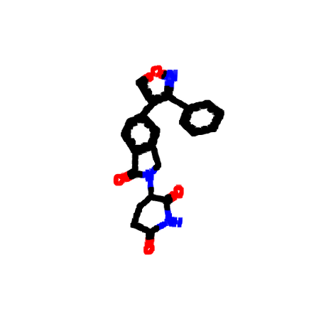 O=C1CCC(N2Cc3cc(-c4conc4-c4ccccc4)ccc3C2=O)C(=O)N1